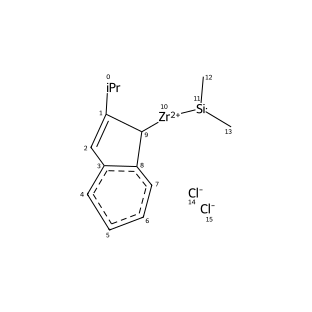 CC(C)C1=Cc2ccccc2[CH]1[Zr+2][Si](C)C.[Cl-].[Cl-]